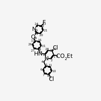 CCOC(=O)C1=CN(Cc2ccc(Cl)cc2)C(Nc2ccc(Oc3ccc(F)cn3)cc2)=CC1Cl